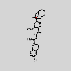 CCOc1cc(C(=O)N2C3CCCC2COC3)ccc1C(=O)NCC(O)[C@@H]1Cc2ccc(O)cc2CN1